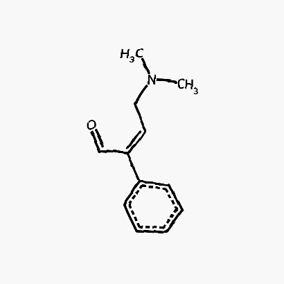 CN(C)CC=C(C=O)c1ccccc1